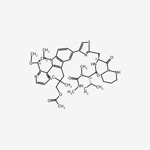 CCn1c(-c2cccnc2[C@H](C)OC)c(CC(C)(C)COC(C)=O)c2cc(-c3csc(C[C@H](NC(=O)[C@H](C(C)C)N(C)C(=O)NC)C(=O)N4CCCCN4)n3)ccc21